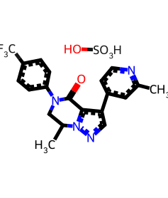 Cc1cc(-c2cnn3c2C(=O)N(c2ccc(C(F)(F)F)cc2)CC3C)ccn1.O=S(=O)(O)O